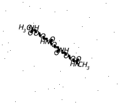 CNC(=O)COCCOCCNC(=O)CCOCC(=O)NCCOCCOCC(=O)NC